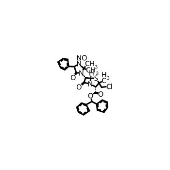 CC1(CCl)S[C@H]2[C@H](N3C(=O)C(c4ccccc4)N(N=O)C3(C)C)C(=O)N2[C@H]1C(=O)OC(c1ccccc1)c1ccccc1